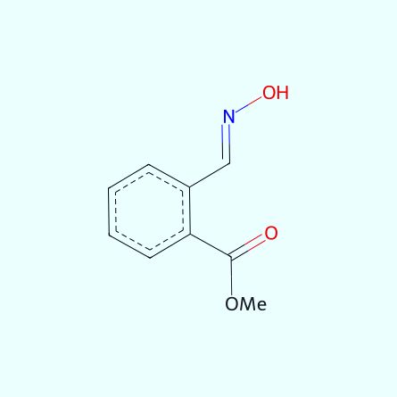 COC(=O)c1ccccc1C=NO